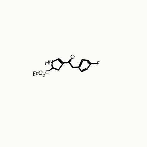 CCOC(=O)C1CC(C(=O)Cc2ccc(F)cc2)=CN1